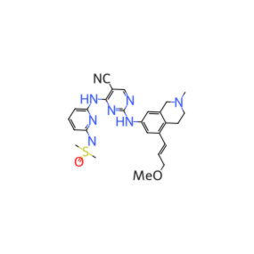 COC/C=C/c1cc(Nc2ncc(C#N)c(Nc3cccc(N=S(C)(C)=O)n3)n2)cc2c1CCN(C)C2